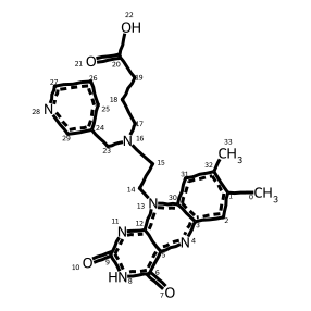 Cc1cc2nc3c(=O)[nH]c(=O)nc-3n(CCN(CCCC(=O)O)Cc3cccnc3)c2cc1C